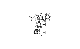 C=CCCN1C(C)Cc2c([nH]c3ccccc23)C1c1ccc(/C=C/C(=O)O)cc1